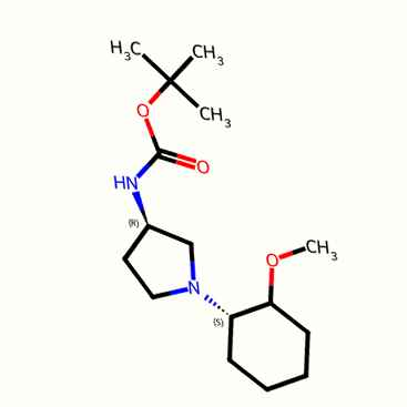 COC1CCCC[C@@H]1N1CC[C@@H](NC(=O)OC(C)(C)C)C1